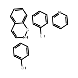 C1=Cc2ccccc2ON1.Oc1ccccc1.Oc1ccccc1.c1ccncc1